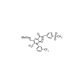 CON=Cc1cc(C(=O)NCc2ccc(S(C)(=O)=O)cc2)c(=O)n(-c2cccc(C(F)(F)F)c2)c1C